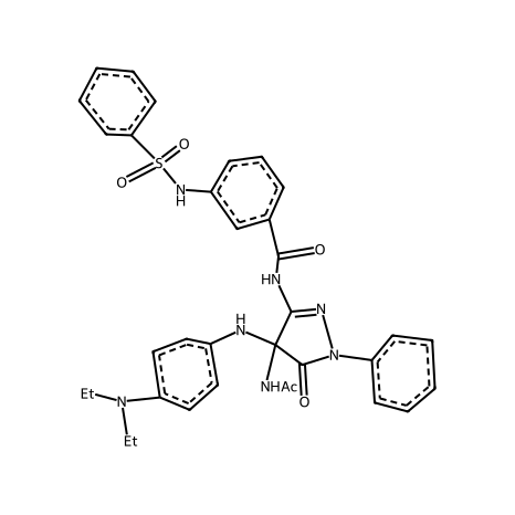 CCN(CC)c1ccc(NC2(NC(C)=O)C(=O)N(c3ccccc3)N=C2NC(=O)c2cccc(NS(=O)(=O)c3ccccc3)c2)cc1